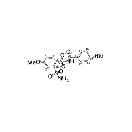 COc1ccc(S(=O)(=O)NC(=O)c2ccc(C(C)(C)C)cc2)c(S(N)(=O)=O)c1